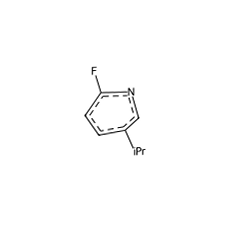 CC(C)c1ccc(F)nc1